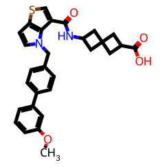 COc1cccc(-c2ccc(Cn3ccc4scc(C(=O)NC5CC6(C5)CC(C(=O)O)C6)c43)cc2)c1